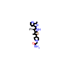 Cc1c(C2CCN(CC(N)=O)CC2)sc2[nH]c(C3=NC(C)c4ncccc43)c(C(C)C)c12